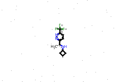 C[C@@H](NC1CCC1)c1ccc(C(F)(F)F)nn1